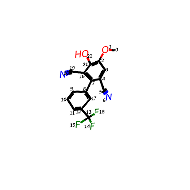 COc1cc(C#N)c(-c2cccc(C(F)(F)F)c2)c(C#N)c1O